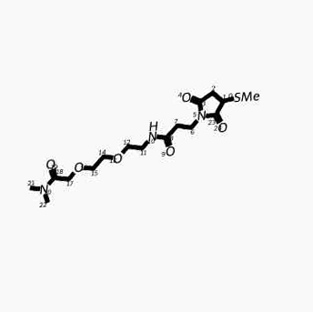 CSC1CC(=O)N(CCC(=O)NCCOCCOCC(=O)N(C)C)C1=O